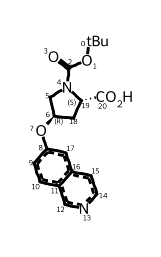 CC(C)(C)OC(=O)N1C[C@H](Oc2ccc3cnccc3c2)C[C@H]1C(=O)O